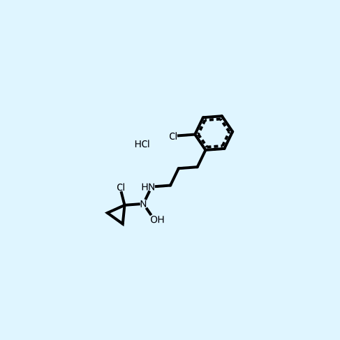 Cl.ON(NCCCc1ccccc1Cl)C1(Cl)CC1